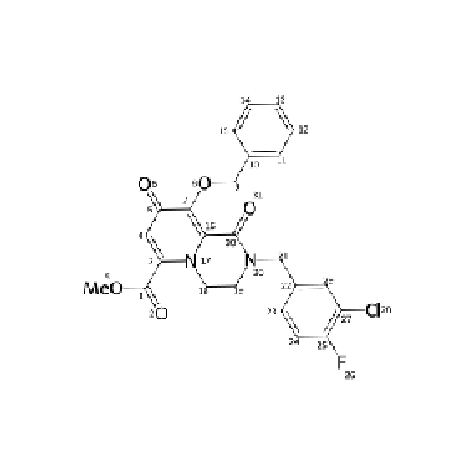 COC(=O)c1cc(=O)c(OCc2ccccc2)c2n1CCN(Cc1ccc(F)c(Cl)c1)C2=O